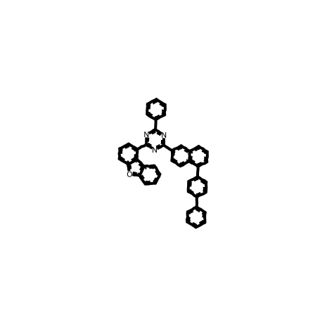 c1ccc(-c2ccc(-c3cccc4cc(-c5nc(-c6ccccc6)nc(-c6cccc7oc8ccccc8c67)n5)ccc34)cc2)cc1